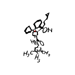 CNC[C@H](CC(C)C)NC(=O)N1CCC[C@@H](C(O)(CCCC2CC2)c2ccccc2Oc2ccccc2)C1